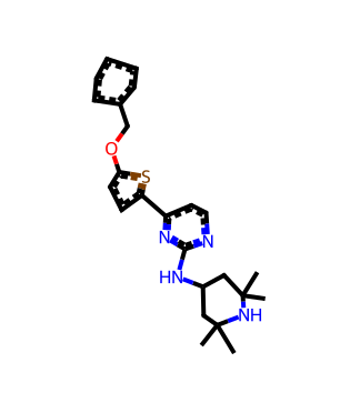 CC1(C)CC(Nc2nccc(-c3ccc(OCc4ccccc4)s3)n2)CC(C)(C)N1